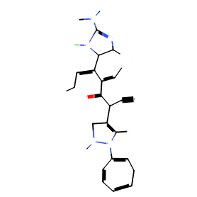 C#CC(C(=O)C(=C/C)/C(=C\CC)C1C(C)N=C(N(C)C)N1F)C1=C(C)N(C2=CCC=CC=C2)N(C)C1